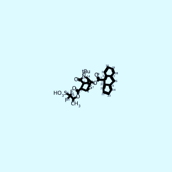 CC(OC(=O)C1C2SC3C1C(=O)N(C(C)(C)C)C3C2OC(=O)c1c2ccccc2cc2ccccc12)C(F)(F)S(=O)(=O)O